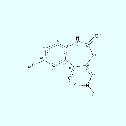 CN(C)C=C1CC(=O)Nc2ccc(F)cc2C1=O